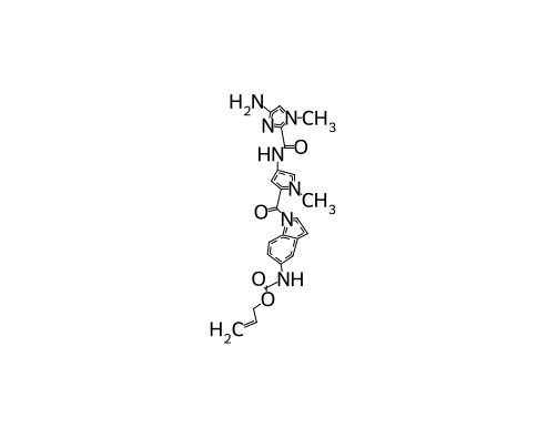 C=CCOC(=O)Nc1ccc2c(ccn2C(=O)c2cc(NC(=O)c3nc(N)cn3C)cn2C)c1